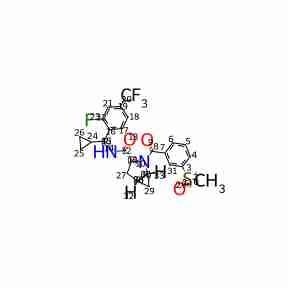 C[S@@+]([O-])c1cccc(C(=O)N2[C@@H](C(=O)N[C@@H](c3ccc(C(F)(F)F)cc3F)C3CC3)C[C@H]3C[C@H]32)c1